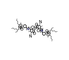 CCCCC(CC)CN(CC(CC)CCCC)S(=O)(=O)c1cccc(/N=N/c2c(C)c(C#N)c(=O)n(CCn3c(O)c(/N=N/c4cccc(S(=O)(=O)N(CC(CC)CCCC)CC(CC)CCCC)c4)c(C)c(C#N)c3=O)c2O)c1